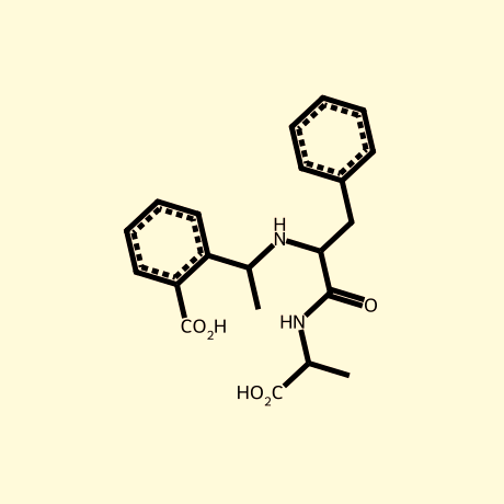 CC(NC(=O)C(Cc1ccccc1)NC(C)c1ccccc1C(=O)O)C(=O)O